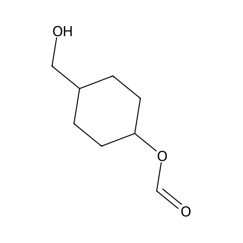 O=COC1CCC(CO)CC1